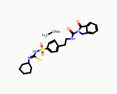 COC.O=C(NCCc1ccc(S(=O)(=O)N/C(S)=N/C2CCCCC2)cc1)N1Cc2ccccc2C1=O